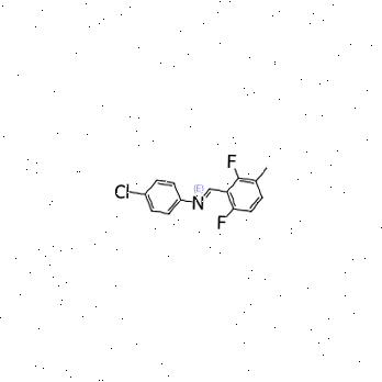 Cc1ccc(F)c(/C=N/c2ccc(Cl)cc2)c1F